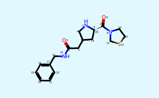 O=C(CC1CN[C@H](C(=O)N2CCSC2)C1)NCc1ccccc1